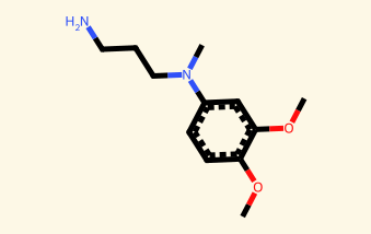 COc1ccc(N(C)CCCN)cc1OC